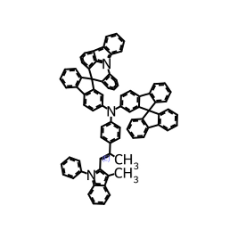 C/C(=C\c1c(C)c2ccccc2n1-c1ccccc1)c1ccc(N(c2ccc3c(c2)C2(c4ccccc4-c4ccccc42)c2ccccc2-3)c2ccc3c(c2)C2(c4ccccc4-3)c3ccccc3-n3c4ccccc4c4cccc2c43)cc1